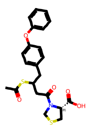 CC(=O)SC(CC(=O)N1CSC[C@H]1C(=O)O)Cc1ccc(Oc2ccccc2)cc1